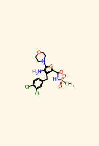 CS(=O)(=O)NC(=O)c1sc(N2CCOCC2)c(N)c1Cc1ccc(Cl)c(Cl)c1